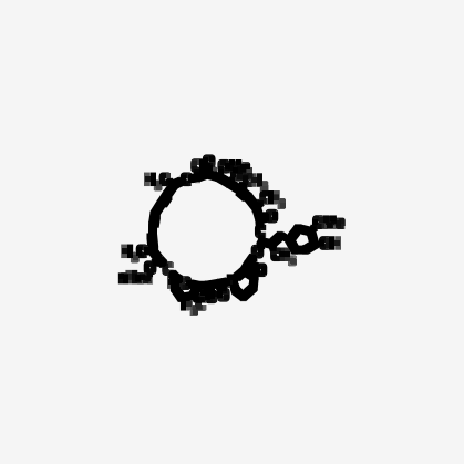 CCCCCCOC1C[C@@H]2CC[C@@H](C)[C@@](O)(O2)C(=O)C(=O)N2CCCC[C@H]2C(=O)O[C@H]([C@H](C)C[C@@H]2CC[C@@H](O)[C@H](OC)C2)CC(=O)[C@H](C)/C=C(\C)[C@@H](O)[C@@H](OC)C(=O)[C@H](C)C[C@H](C)/C=C/C=C/C=C/1C